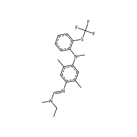 CCN(C)C=Nc1cc(C)c(N(C)c2ccccc2SC(F)(F)F)cc1C